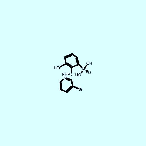 Brc1cccnc1.CC(=O)Nc1c(O)cccc1[As](=O)(O)O